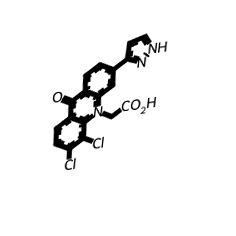 O=C(O)Cn1c2cc(-c3cc[nH]n3)ccc2c(=O)c2ccc(Cl)c(Cl)c21